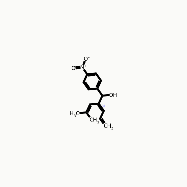 C=C/C=C(\C=C(C)C)C(O)c1ccc([N+](=O)[O-])cc1